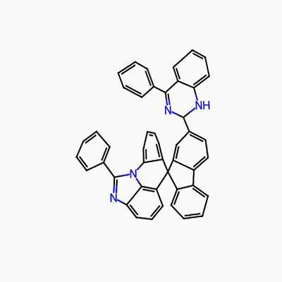 c1ccc(C2=NC(c3ccc4c(c3)C3(c5ccccc5-4)c4ccccc4-n4c(-c5ccccc5)nc5cccc3c54)Nc3ccccc32)cc1